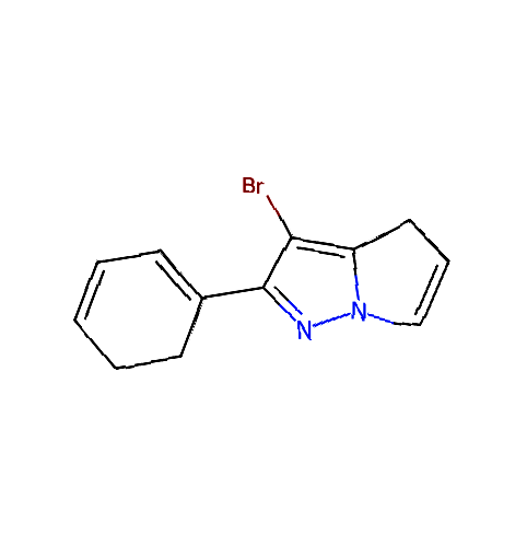 Brc1c(C2=CC=CCC2)nn2c1CC=C2